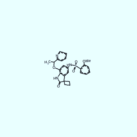 COc1ccccc1S(=O)(=O)Nc1cc(OC(C)c2ccccn2)c2c(c1)C1(CCC1)C(=O)N2